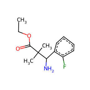 CCOC(=O)C(C)(C)C(N)c1ccccc1F